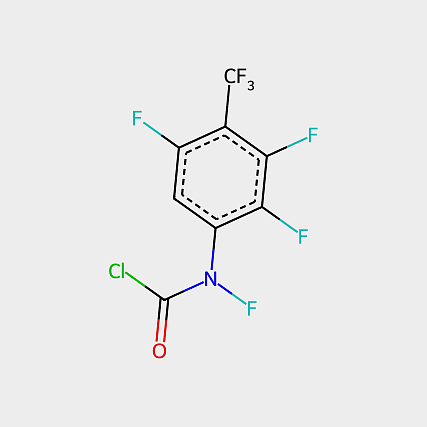 O=C(Cl)N(F)c1cc(F)c(C(F)(F)F)c(F)c1F